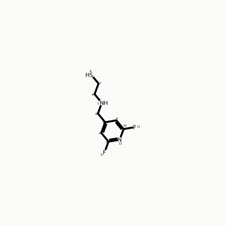 Fc1cc(CNCCS)cc(F)n1